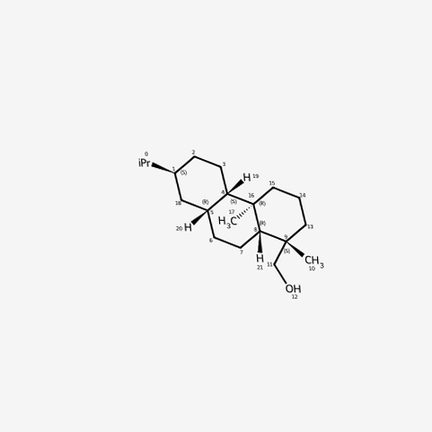 CC(C)[C@H]1CC[C@H]2[C@H](CC[C@H]3[C@@](C)(CO)CCC[C@]23C)C1